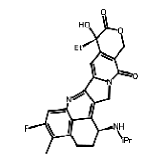 CC[C@@]1(O)C(=O)OCc2c1cc1n(c2=O)Cc2c-1nc1cc(F)c(C)c3c1c2[C@@H](NC(C)C)CC3